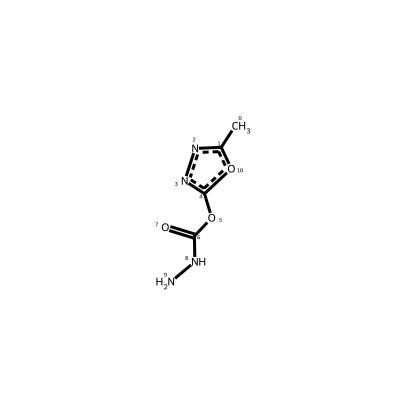 Cc1nnc(OC(=O)NN)o1